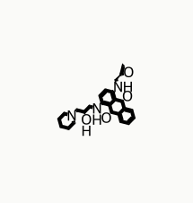 O=C1c2ccccc2C(=O)c2c(NC[C@H]3CO3)ccc(NC[C@H](O)CN3CCCCC3)c21